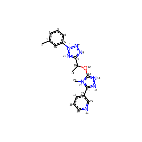 Cc1cccc(-n2nnc(C(C)Oc3nnc(-c4cccnc4)n3C)n2)c1